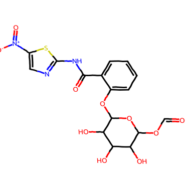 O=COC1OC(Oc2ccccc2C(=O)Nc2ncc([N+](=O)[O-])s2)C(O)C(O)C1O